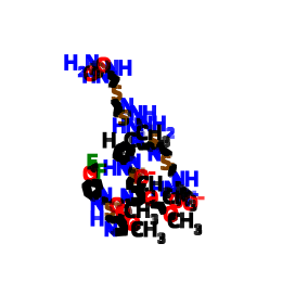 CN/C(=C\[N+](=O)[O-])NCCSCc1csc(CN(C)C)n1.COCCCOc1ccnc(C[S+]([O-])c2nc3ccccc3[nH]2)c1C.COc1ccnc(C[S+]([O-])c2nc3cc(OC(F)F)ccc3[nH]2)c1OC.N=C(N)Nc1nc(CSCCC(=N)NS(N)(=O)=O)cs1